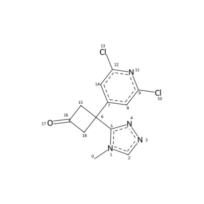 Cn1cnnc1C1(c2cc(Cl)nc(Cl)c2)CC(=O)C1